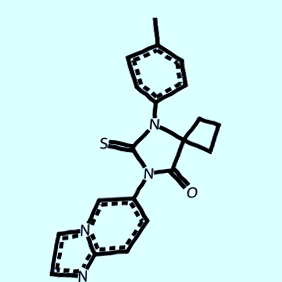 Cc1ccc(N2C(=S)N(c3ccc4nccn4c3)C(=O)C23CCC3)cc1